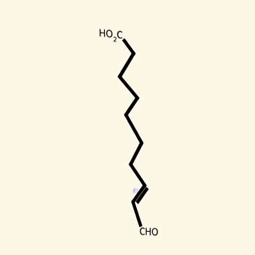 O=C/C=C/CCCCCCC(=O)O